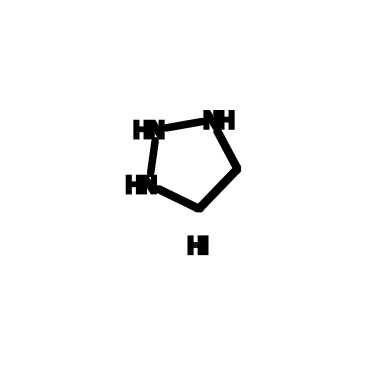 C1CNNN1.I